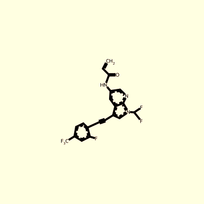 C=CC(=O)Nc1cnc2c(c1)c(C#Cc1ccc(C(F)(F)F)cc1F)cn2C(F)F